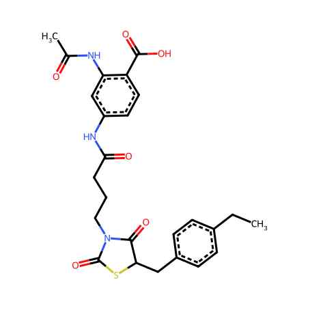 CCc1ccc(CC2SC(=O)N(CCCC(=O)Nc3ccc(C(=O)O)c(NC(C)=O)c3)C2=O)cc1